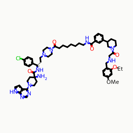 CCOc1cc(OC)ccc1CNCC(=O)N1CCCC(c2cccc(C(=O)NCCCCCCCC(=O)N3CCN(CC[C@H](NC(=O)C4(N)CCN(c5ncnc6[nH]ccc56)CC4)c4ccc(Cl)cc4)CC3)c2)C1